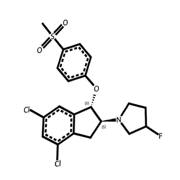 CS(=O)(=O)c1ccc(O[C@H]2c3cc(Cl)cc(Cl)c3C[C@@H]2N2CCC(F)C2)cc1